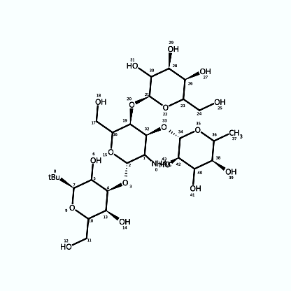 CC(=O)NC1[C@H](O[C@@H]2C(O)[C@H](C(C)(C)C)OC(CO)[C@@H]2O)OC(CO)[C@@H](O[C@@H]2OC(CO)[C@H](O)[C@H](O)C2O)[C@H]1O[C@@H]1OC(C)[C@@H](O)C(O)[C@H]1O